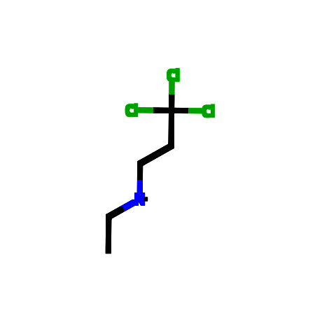 CC[N]CCC(Cl)(Cl)Cl